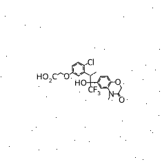 CC(c1cc(OCC(=O)O)ccc1Cl)C(O)(c1ccc2c(c1)N(C)C(=O)CO2)C(F)(F)F